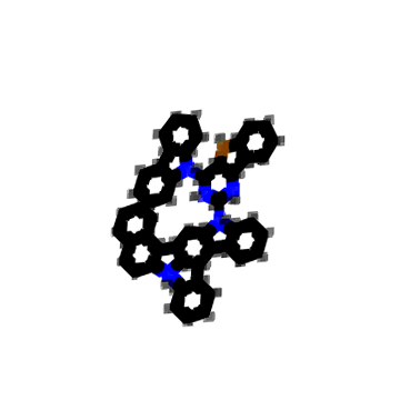 c1ccc2c(c1)ccc1c2c2cc3c(c4ccccc4n3-c3nc(-n4c5ccccc5c5ccccc54)c4sc5ccccc5c4n3)c3c4ccccc4n1c23